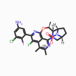 Cc1nc2c3c(nc(-c4cc(N)cc(Cl)c4I)c(F)c3c1C)O[C@@H](C)[C@@H]1[C@@H]3CC[C@H](CN21)N3C(=O)OC(C)(C)C